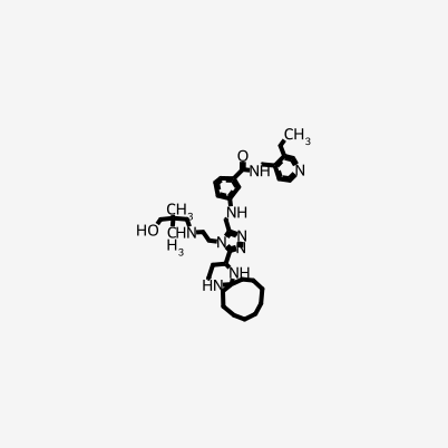 CCc1cnccc1CNC(=O)c1cccc(NCc2nnc(C3CCNC4(CCCCCCCCC4)N3)n2CCNCC(C)(C)CO)c1